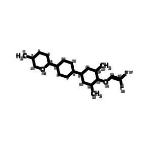 CC1CCC(C2CCC(C3CC(C)C(OC=C(F)F)C(C)C3)CC2)OC1